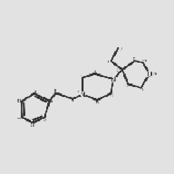 CCC1(N2CCN(CCc3ccccc3)CC2)CCOCC1